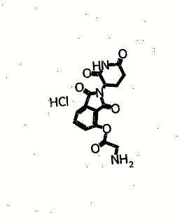 Cl.NCC(=O)Oc1cccc2c1C(=O)N(C1CCC(=O)NC1=O)C2=O